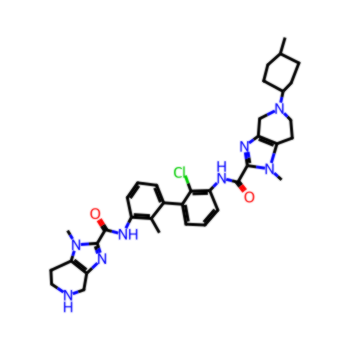 Cc1c(NC(=O)c2nc3c(n2C)CCNC3)cccc1-c1cccc(NC(=O)c2nc3c(n2C)CCN(C2CCC(C)CC2)C3)c1Cl